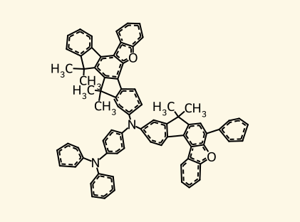 CC1(C)c2cc(N(c3ccc(N(c4ccccc4)c4ccccc4)cc3)c3ccc4c(c3)C(C)(C)c3c5c(c6c(oc7ccccc76)c3-4)-c3ccccc3C5(C)C)ccc2-c2c1cc(-c1ccccc1)c1oc3ccccc3c21